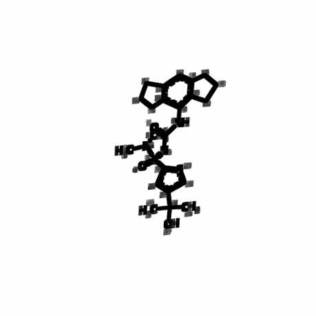 CN(C)S(=O)(=NC(=O)Nc1c2c(cc3c1CCC3)CCC2)c1cc(C(C)(C)O)cs1